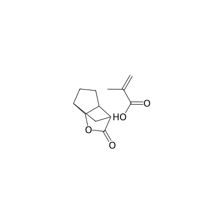 C=C(C)C(=O)O.O=C1OC2C3CCC2C1C3